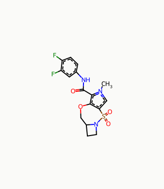 Cn1cc2c(c1C(=O)Nc1ccc(F)c(F)c1)OCC1CCN1S2(=O)=O